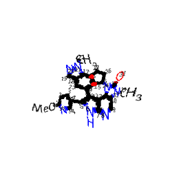 COc1ccc(-c2[nH]c3ncc4c(c3c2-c2ccc3c(cnn3C)c2)n(C2CCCC2)c(=O)n4C)cn1